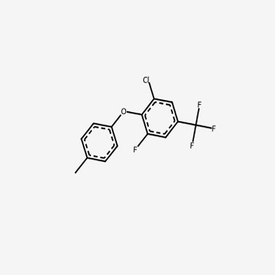 Cc1ccc(Oc2c(F)cc(C(F)(F)F)cc2Cl)cc1